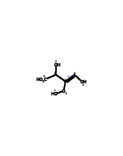 O=C(O)C(O)/C(=C/O)OO